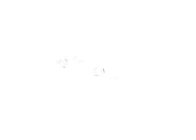 CCOC(=O)CCCNC(=O)N1CCc2cc(OCc3cc(-c4ccccc4)c(C(F)(F)F)s3)ccc21